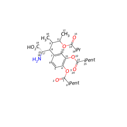 CCCC(C)C(=O)Oc1ccc(C(C(C)C(C)OC(=O)C(C)C)[C@H](N)C(=O)O)cc1OC(=O)C(C)CCC